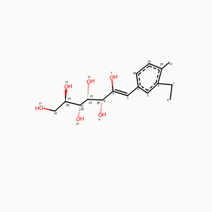 CCc1cc(C=C(O)[C@H](O)[C@@H](O)[C@H](O)[C@H](O)CO)ccc1C